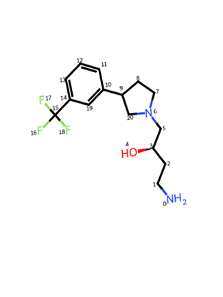 NCC[C@@H](O)CN1CCC(c2cccc(C(F)(F)F)c2)C1